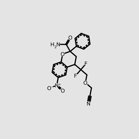 N#CCOCC(F)(F)[C]1CC(C(N)=O)(c2ccccc2)Oc2ccc([N+](=O)[O-])cc21